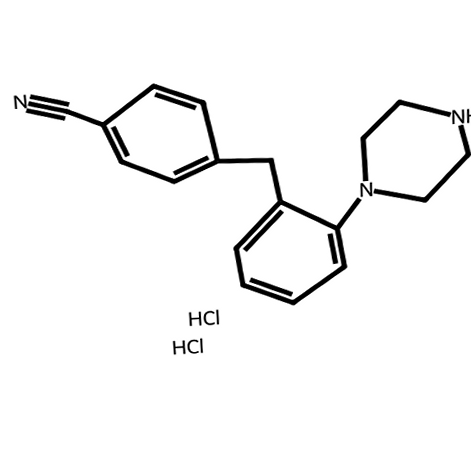 Cl.Cl.N#Cc1ccc(Cc2ccccc2N2CCNCC2)cc1